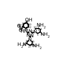 N[C@@H]1C[C@@H](N)CN(c2nc(Nc3ccc(O)cc3[N+](=O)[O-])nc(N3C[C@H](N)C[C@H](N)C3)n2)C1